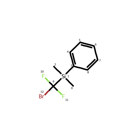 C[Si](C)(c1ccccc1)C(F)(F)Br